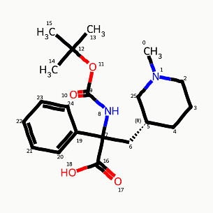 CN1CCC[C@H](CC(NC(=O)OC(C)(C)C)(C(=O)O)c2ccccc2)C1